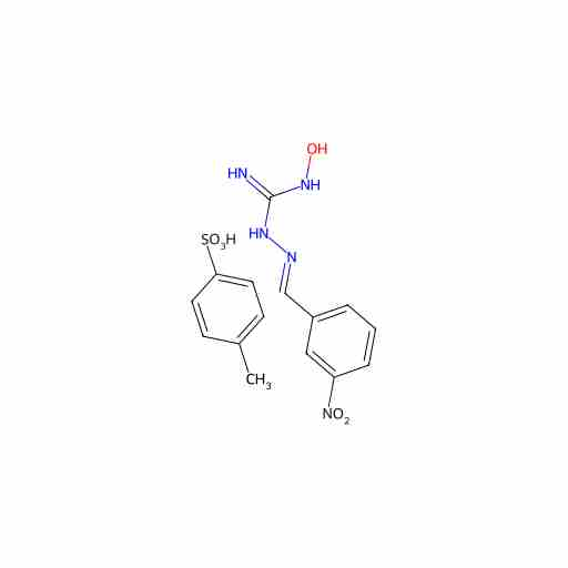 Cc1ccc(S(=O)(=O)O)cc1.N=C(NO)N/N=C/c1cccc([N+](=O)[O-])c1